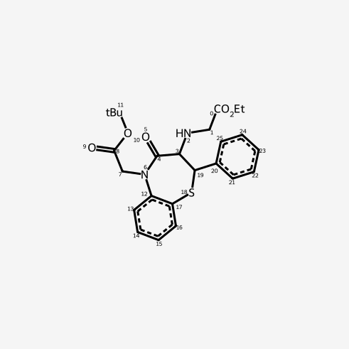 CCOC(=O)CNC1C(=O)N(CC(=O)OC(C)(C)C)c2ccccc2SC1c1ccccc1